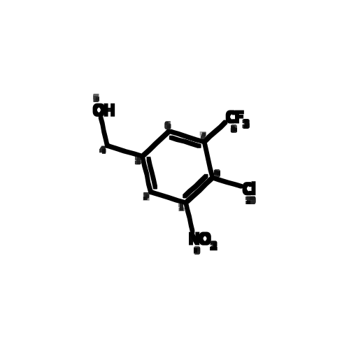 O=[N+]([O-])c1cc(CO)cc(C(F)(F)F)c1Cl